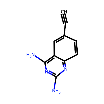 C#Cc1ccc2nc(N)nc(N)c2c1